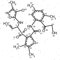 C=CC(Nc1onc(C)c1Cl)S(=O)(=O)c1c(C(=O)Nc2cc(C)cc(C)c2C(=O)CO)sc(C)c1C